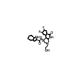 CN(C(=O)c1cc2ccccc2[nH]1)[C@@H]1CN(CCO)Cc2[nH]c(=O)c3cc(F)c(F)cc3c21